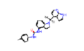 [2H]C([2H])(c1ccnc2[nH]ccc12)N1CCc2c(NC(=O)Nc3ccc(C)cc3)cccc21